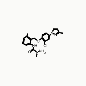 Cc1ccn(-c2ccc(OCc3c(C)cccc3NC(=O)N(C)N)c(Cl)c2)n1